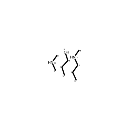 CCCNC.CCCO.CNC